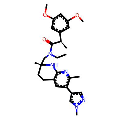 CCN(C[C@@]1(C)CCc2cc(-c3cnn(C)c3)c(C)nc2N1)C(=O)[C@H](C)c1cc(OC)cc(OC)c1